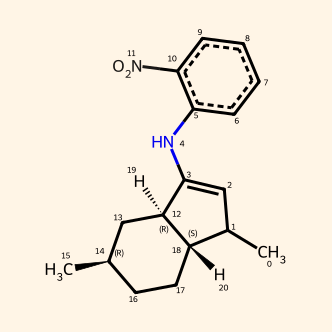 CC1C=C(Nc2ccccc2[N+](=O)[O-])[C@@H]2C[C@H](C)CC[C@@H]12